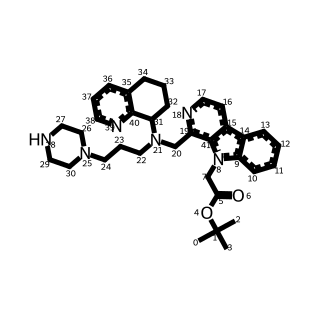 CC(C)(C)OC(=O)Cn1c2ccccc2c2ccnc(CN(CCCN3CCNCC3)C3CCCc4cccnc43)c21